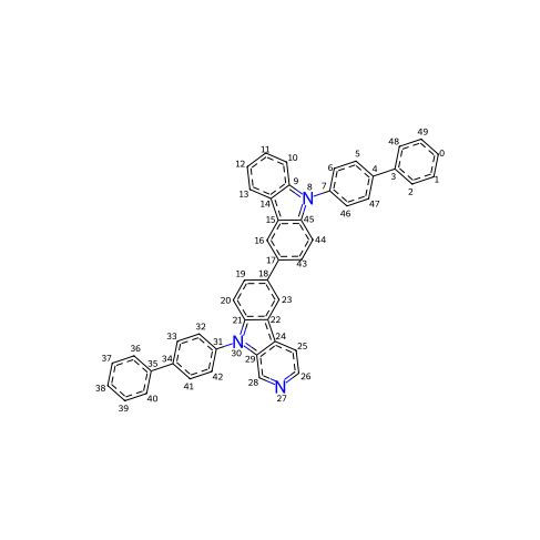 c1ccc(-c2ccc(-n3c4ccccc4c4cc(-c5ccc6c(c5)c5ccncc5n6-c5ccc(-c6ccccc6)cc5)ccc43)cc2)cc1